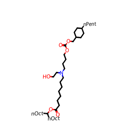 CCCCCCCCC(CCCCCCCC)OC(=O)CCCCCCCN(CCO)CCCCOC(=O)OCC1CCC(CCCCC)CC1